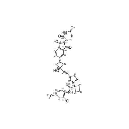 O=C1CCC(N2C(=O)c3ccc(N4CC(O)(C#Cc5cnn(C6(C(=O)Nc7ccc(C(F)(F)F)cc7Cl)CCC6)c5)C4)cc3C2=O)C(=O)N1